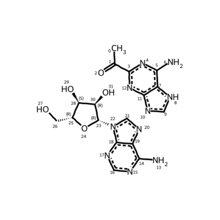 CC(=O)c1nc(N)c2[nH]cnc2n1.Nc1ncnc2c1ncn2[C@@H]1O[C@H](CO)[C@@H](O)[C@H]1O